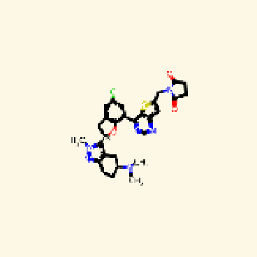 CN(C)C1CCc2nn(C)c([C@H]3Cc4cc(Cl)cc(-c5ncnc6cc(CN7C(=O)CCC7=O)sc56)c4O3)c2C1